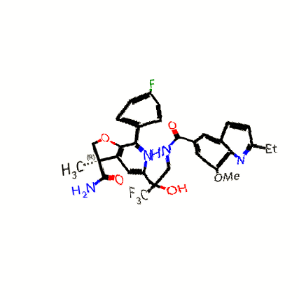 CCc1ccc2cc(C(=O)NCC(O)(c3cc4c(c(-c5ccc(F)cc5)n3)OC[C@]4(C)C(N)=O)C(F)(F)F)cc(OC)c2n1